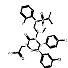 CC[C@@H](CN(c1ccccc1F)S(=O)(=O)C(C)C)N1C(=O)[C@H](CC(=O)O)O[C@H](c2cccc(Cl)c2)[C@H]1c1ccc(Cl)cc1